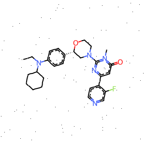 CCN(c1ccc([C@H]2CN(c3nc(-c4ccncc4F)cc(=O)n3C)CCO2)cc1)C1CCCCC1